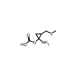 CSCC1CC1(N)OC(=O)O